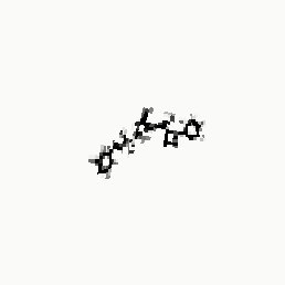 Cc1nc(NC(=O)/C=C/c2ccccc2)sc1C(=O)Nc1ccccc1